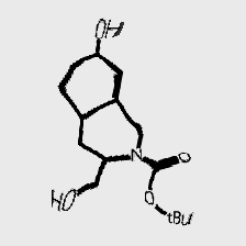 CC(C)(C)OC(=O)N1CC2=CC(O)CCC2CC1CO